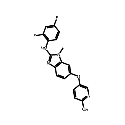 Cn1c(Nc2ccc(F)cc2F)nc2ccc(Oc3ccc(O)nc3)cc21